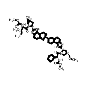 CC[C@H](C)[C@H](NC(=O)OC)C(=O)N1C2C(C)C2C[C@H]1c1nc2ccc3cc(-c4ccc5c(ccc6nc([C@@H]7C[C@H](COC)CN7C(=O)[C@H](NC(=O)OC)c7ccccc7)[nH]c65)c4)ccc3c2[nH]1